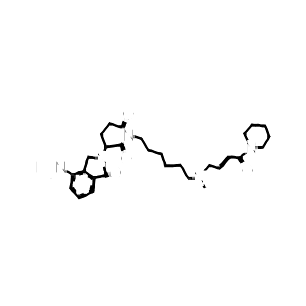 CN(C/C=C/C(=O)N1CCCCC1)CCCCCCN1C(=O)CCC(N2Cc3c(N)cccc3C2=O)C1=O